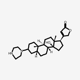 C[C@]12CCC(N3CCNCC3)C[C@H]1CC[C@@H]1[C@@H]2CC[C@]2(C)[C@@H](C3=CC(=O)OC3)CC[C@]12O